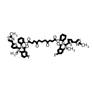 Cc1nc(-c2ccc(C3N(C)c4ccc(F)cc4C(=O)N3c3ccccc3OC(=O)CCC(=O)CCCC(=O)CCC(=O)Oc3ccccc3N3C(=O)c4cc(F)ccc4N(C)C3c3ccc(-c4csc(C)n4)s3)s2)cs1